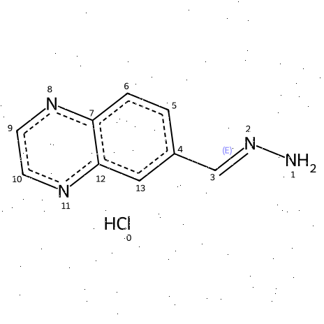 Cl.N/N=C/c1ccc2nccnc2c1